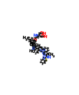 Cc1c(Nc2nc3ccccc3s2)nnc2c1CCCN2c1ccc(-c2cnn(CC3CC4(C)CC5(C)CC3CC(OCCNC(CO)CO)(C4)C5)c2C)c(C(=O)O)n1